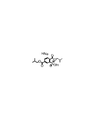 CC(C)COC(=O)c1ccc(C(=O)OCC(C)C)c(S(=O)(=O)O)c1.[NaH]